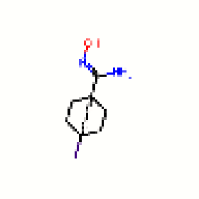 N/C(=N\O)C12CCC(I)(CC1)CC2